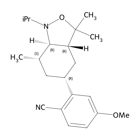 COc1ccc(C#N)c([C@H]2C[C@@H]3[C@@H]([C@@H](C)C2)N(C(C)C)OC3(C)C)c1